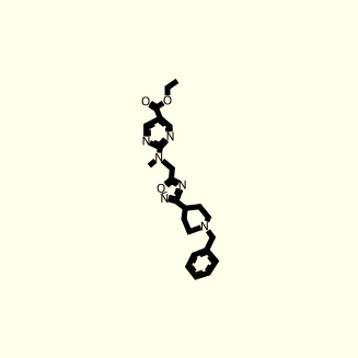 CCOC(=O)c1cnc(N(C)Cc2nc(C3CCN(Cc4ccccc4)CC3)no2)nc1